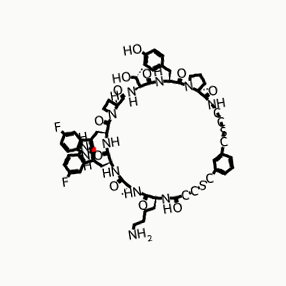 C[C@H]1NC(=O)[C@H](CCCCN)NC(=O)CCSCc2cccc(c2)CSCCNC(=O)[C@]2(C)CCCN2C(=O)[C@H](Cc2ccc(O)cc2)NC(=O)[C@H]([C@@H](C)O)NC(=O)[C@@H]2CCN2C(=O)[C@H](Cc2c[nH]c3ccc(F)cc23)NC(=O)[C@H](Cc2c[nH]c3ccc(F)cc23)NC1=O